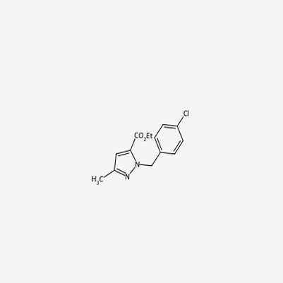 CCOC(=O)c1cc(C)nn1Cc1ccc(Cl)cc1